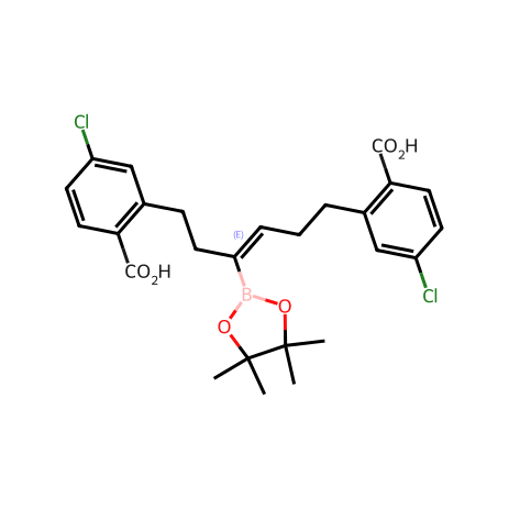 CC1(C)OB(/C(=C\CCc2cc(Cl)ccc2C(=O)O)CCc2cc(Cl)ccc2C(=O)O)OC1(C)C